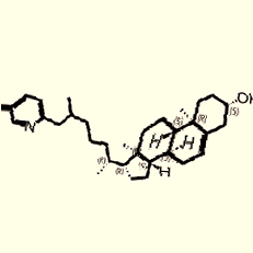 CC(CCC[C@@H](C)[C@H]1CC[C@H]2[C@@H]3CC=C4C[C@@H](O)CC[C@]4(C)[C@H]3CC[C@]12C)Cc1ccccn1